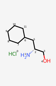 Cl.N[C@@H](CO)CC1CCCCC1